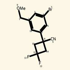 COCc1cc(Br)cc(C2(C#N)CC(F)(F)C2)c1